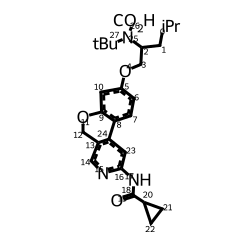 CC(C)CC(COc1ccc2c(c1)OCc1cnc(NC(=O)C3CC3)cc1-2)N(C(=O)O)C(C)(C)C